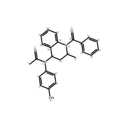 CC(=O)N(c1ccc(O)cc1)C1CC(C)N(C(=O)c2ccccc2)c2ccccc21